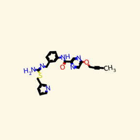 CC#CCOc1cnc(C(=O)Nc2cccc(C/N=C(/N)SCc3cccnc3)c2)cn1